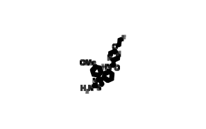 COc1ccc(C2(c3cccc(NC(=O)c4cnc(OCCF)cn4)c3)CSC(N)=N2)cc1